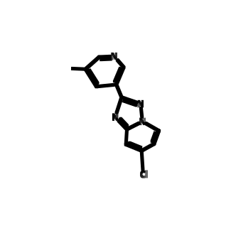 Cc1cncc(-c2nc3cc(Cl)ccn3n2)c1